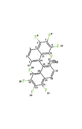 Cc1ccc2c(F)c(F)c(F)c(F)c2c1-c1c(C(C)(C)C)ccc2c(F)c(F)c(F)c(F)c12